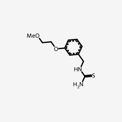 COCCOc1cccc(CNC(N)=S)c1